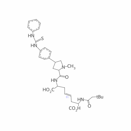 CN1CC(c2ccc(NC(=S)Nc3ccccc3)cc2)CC1C(=O)NC(C/C=C/CC(NC(=O)CC(C)(C)C)C(=O)O)C(=O)O